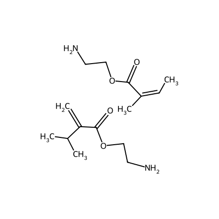 C=C(C(=O)OCCN)C(C)C.CC=C(C)C(=O)OCCN